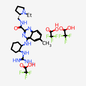 CCN1CCC[C@H]1CNC(=O)c1nc(NC2CCCCC2NC(=N)N)c2cc(C)ccc2n1.O=C(O)C(F)(F)F.O=C(O)C(F)(F)F.O=C(O)C(F)(F)F